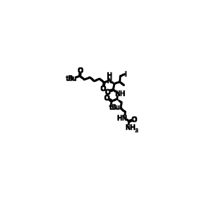 CC(CI)[C@H](NC(=O)CCCCC(=O)C(C)(C)C)C(=O)N[C@@H](CCCNC(N)=O)C(=O)C(C)(C)C